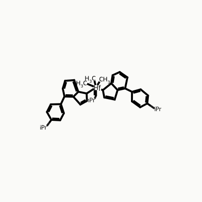 CCC[CH]=[Hf]([CH3])([CH3])([CH3])([CH]1C=Cc2c(-c3ccc(C(C)C)cc3)cccc21)[CH]1C=Cc2c(-c3ccc(C(C)C)cc3)cccc21